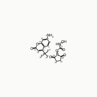 Nc1ccc2c(C(F)(F)F)cc(=O)oc2c1.O=C(NO)ON1C(=O)CCC1=O